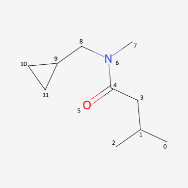 CC(C)CC(=O)N(C)CC1CC1